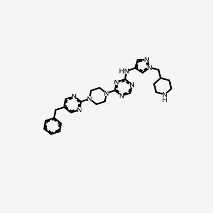 c1ccc(Cc2cnc(N3CCN(c4ncnc(Nc5cnn(CC6CCNCC6)c5)n4)CC3)nc2)cc1